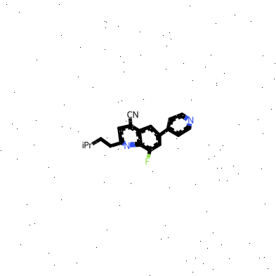 CC(C)CCc1cc(C#N)c2cc(-c3ccncc3)cc(F)c2n1